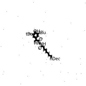 CCCCCCCCCCCCCCCCCC(=O)NNC(=O)C(C)c1cc(C(C)(C)C)c(O)c(C(C)(C)C)c1